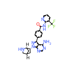 Nc1ncnc2c1c(-c1ccc(C(=O)Nc3ncccc3C(F)(F)F)cc1)nn2[C@@H]1C[C@@H]2CN[C@@H]1C2